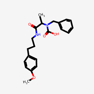 COc1ccc(CCCNC(=O)C(C)N(Cc2ccccc2)C(=O)O)cc1